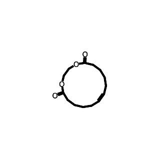 O=C1CCCCC=CCCCCC(=O)OCCO1